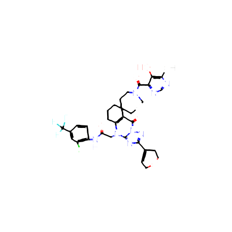 Cc1ncnc(C(=O)N2CCCC3(CCCc4c3c(=O)n3nc(C5=CCOCC5)nc3n4CC(=O)Nc3ccc(C(F)(F)F)cc3Cl)CC2)c1O